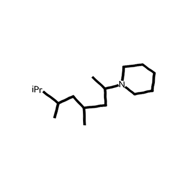 CC(CC(C)C(C)C)CC(C)N1CCCCC1